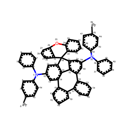 CC(C)c1ccc(N(c2ccccc2)c2cc3c4c(c2)C2(c5ccccc5Oc5ccccc52)c2cc(N(c5ccccc5)c5ccc(C(C)C)cc5)cc(c2-4)-c2ccccc2-c2ccccc2-3)cc1